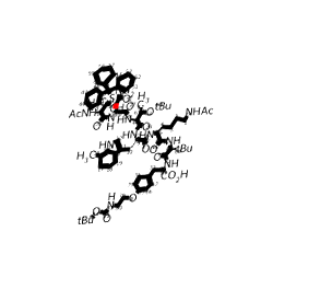 CC(=O)NCCCC[C@H](NC(=O)[C@H](Cc1c[nH]c2c(C)cccc12)NC(=O)[C@@H](NC(=O)[C@H](CC(N)=O)NC(=O)[C@@H](NC(C)=O)C(C)(C)SC(c1ccccc1)(c1ccccc1)c1ccccc1)[C@@H](C)OC(C)(C)C)C(=O)N[C@H](C(=O)N[C@@H](Cc1ccc(OCCNC(=O)OC(C)(C)C)cc1)C(=O)O)C(C)(C)C